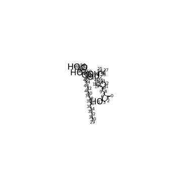 C=C1CC[C@H](O)CC1=CC=C1CCC[C@@]2(C)C1CC[C@@H]2[C@H](C)C=C[C@H](C)C(C)C.CCCCCCCCCCCCCCCCCC(=O)O[C@H](CO)[C@H]1OC[C@H](O)[C@H]1O